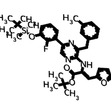 Cc1cccc(Cc2nc(-c3cccc(O[Si](C)(C)C(C)(C)C)c3F)cnc2N/C(=C\c2ccco2)C(=O)OC(C)(C)C)c1